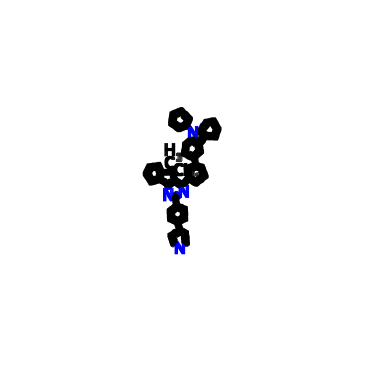 CC1(C)c2ccccc2-c2nc(-c3ccc(-c4ccncc4)cc3)nc(-c3cccc(-c4ccc5c(c4)c4ccccc4n5-c4ccccc4)c3)c21